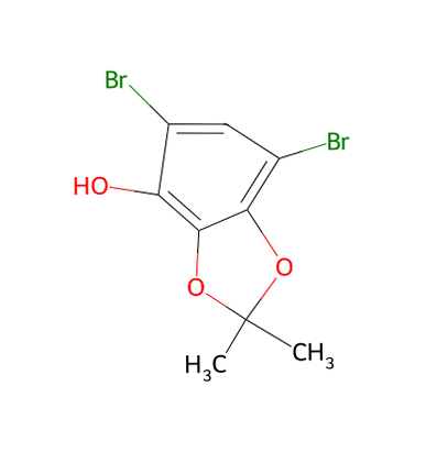 CC1(C)Oc2c(Br)cc(Br)c(O)c2O1